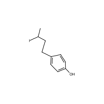 CC(I)CCc1ccc(O)cc1